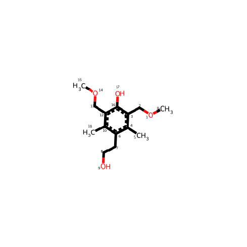 COCc1c(C)c(CCO)c(C)c(COC)c1O